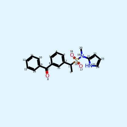 CC(c1cccc(C(=O)c2ccccc2)c1)S(=O)(=O)N(C)c1ccc[nH]1